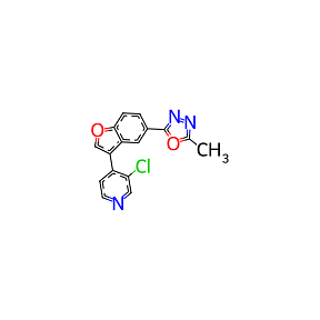 Cc1nnc(-c2ccc3occ(-c4ccncc4Cl)c3c2)o1